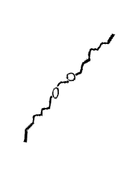 C=CCCCCCCOCCOCCCCCCC=C